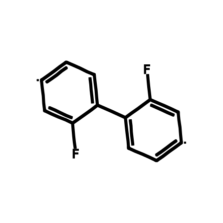 Fc1c[c]ccc1-c1cc[c]cc1F